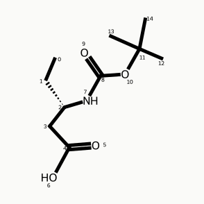 CC[C@@H](CC(=O)O)NC(=O)OC(C)(C)C